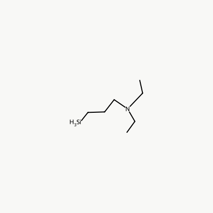 CCN(CC)CCC[SiH3]